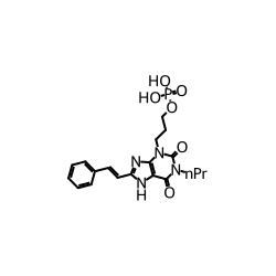 CCCn1c(=O)c2[nH]c(C=Cc3ccccc3)nc2n(CCCOP(=O)(O)O)c1=O